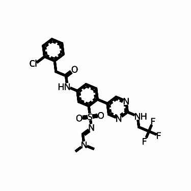 CN(C)/C=N/S(=O)(=O)c1cc(NC(=O)Cc2ccccc2Cl)ccc1-c1cnc(NCC(F)(F)F)nc1